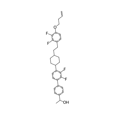 C=CCCOc1ccc(CCC2CCC(c3ccc(-c4ccc(C(C)O)cc4)c(F)c3F)CC2)c(F)c1F